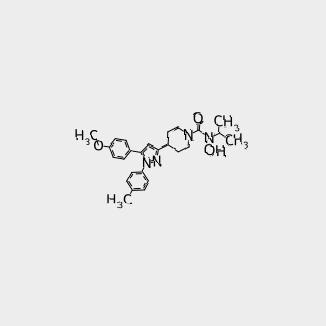 COc1ccc(-c2cc(C3CCN(C(=O)N(O)C(C)C)CC3)nn2-c2ccc(C)cc2)cc1